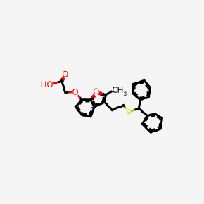 Cc1oc2c(OCC(=O)O)cccc2c1CCSC(c1ccccc1)c1ccccc1